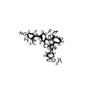 Cc1cc(-c2ccc(C#N)cc2C)ccc1COc1c(-c2csc(N3CCC(C(=O)O)CC3)n2)cccc1C(F)(F)F